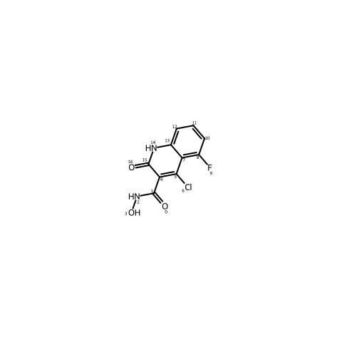 O=C(NO)c1c(Cl)c2c(F)cccc2[nH]c1=O